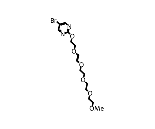 COCCOCCOCCOCCOCCOc1ncc(Br)cn1